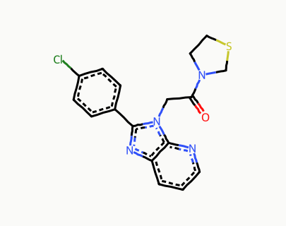 O=C(Cn1c(-c2ccc(Cl)cc2)nc2cccnc21)N1CCSC1